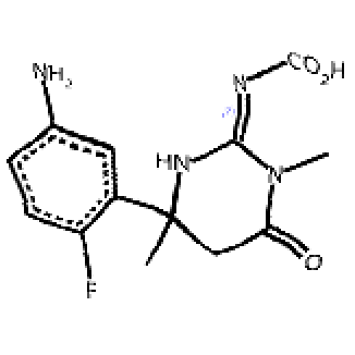 CN1C(=O)CC(C)(c2cc(N)ccc2F)N/C1=N/C(=O)O